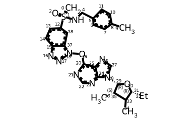 C=S(=O)(NCc1ccc(C)cc1)c1ccc2nnn(Oc3ncnc4c3ncn4[C@@H]3O[C@H](CC)C(C)[C@@H]3C)c2c1